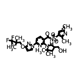 Cc1nn(C)cc1S(=O)(=O)NC(=O)c1ccc(-n2ccc(OCC(C)(C)C(F)(F)F)n2)nc1N1CC(CO)CC1(C)C